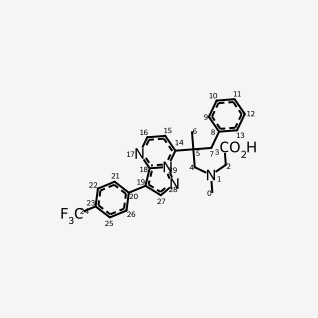 CN(CC(=O)O)CC(C)(Cc1ccccc1)c1ccnc2c(-c3ccc(C(F)(F)F)cc3)cnn12